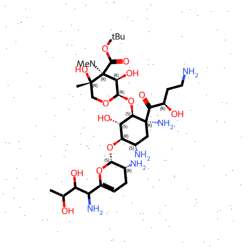 CN[C@]1(C(=O)OC(C)(C)C)[C@@H](O)[C@@H](O[C@@H]2[C@@H](O)[C@H](O[C@H]3OC(C(N)C(O)C(C)O)=CC[C@H]3N)[C@@H](N)C[C@]2(N)C(=O)[C@H](O)CCN)OC[C@]1(C)O